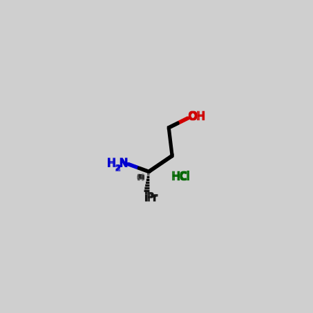 CC(C)[C@H](N)CCO.Cl